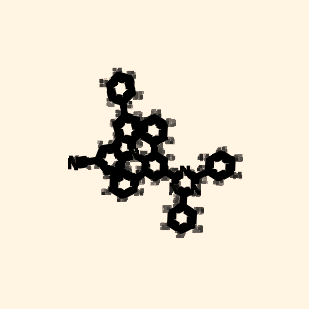 N#Cc1ccc2c(c1)c1cc(-c3ccccc3)ccc1n2-c1c(-c2ccccc2)cc(-c2nc(-c3ccccc3)nc(-c3ccccc3)n2)cc1-c1ccccc1